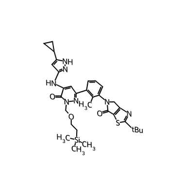 Cc1c(-c2cc(Nc3cc(C4CC4)[nH]n3)c(=O)n(COCC[Si](C)(C)C)n2)cccc1N1Cc2nc(C(C)(C)C)sc2C1=O